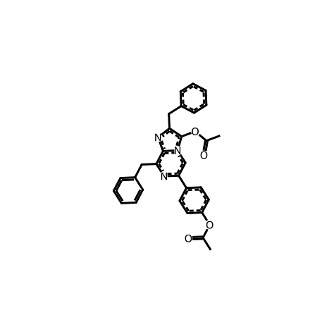 CC(=O)Oc1ccc(-c2cn3c(OC(C)=O)c(Cc4ccccc4)nc3c(CC3=C=C=CC=C3)n2)cc1